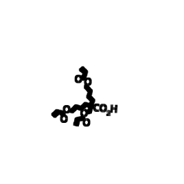 C=CC(=O)OCCCCC(CCCCOC(=O)C=C)(COC(=O)C=C)C(=O)O